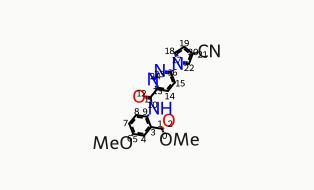 COC(=O)c1cc(OC)ccc1NC(=O)c1ccc(-n2ccc(C#N)c2)nn1